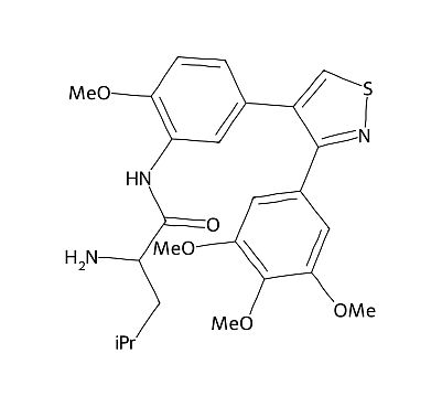 COc1ccc(-c2csnc2-c2cc(OC)c(OC)c(OC)c2)cc1NC(=O)C(N)CC(C)C